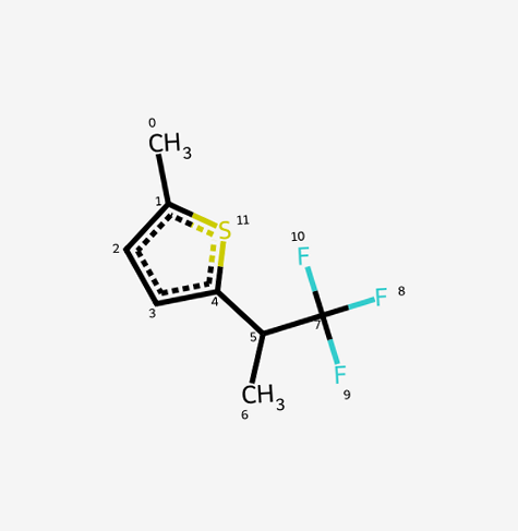 Cc1ccc(C(C)C(F)(F)F)s1